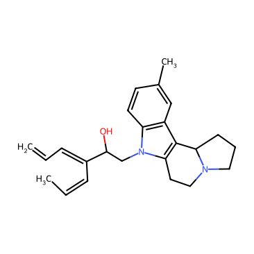 C=C/C=C(\C=C/C)C(O)Cn1c2c(c3cc(C)ccc31)C1CCCN1CC2